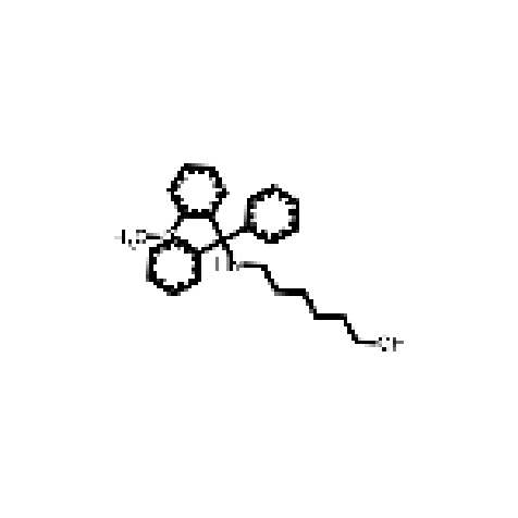 COc1ccccc1C(NCCCCCCO)(c1ccccc1)c1ccccc1